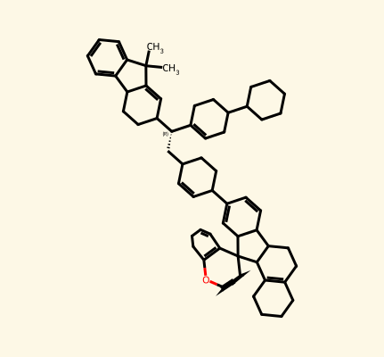 CC1(C)C2=CC([C@@H](CC3C=CC(C4=CC5C(C=C4)C4CCC6=C(CCCC6)C4C54C5=C(CCC=C5)OC5C=CCCC54)CC3)C3=CCC(C4CCCCC4)CC3)CCC2c2ccccc21